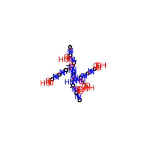 CCCOc1cc(N=Nc2ccc(N=Nc3ccccc3)cc2S(=O)(=O)O)c(C)cc1Cc1nc(Cc2ccc(N=Nc3ccc(N=Nc4ccc(S(=O)(=O)O)cc4)cc3)c(C)c2)nc(N2CC(C)N(c3nc(Nc4ccc(N=Nc5ccc(N=Nc6ccccc6)cc5S(=O)(=O)O)c(C)c4)nc(Nc4cc(C)c(N=Nc5ccc(N=Nc6ccc(S(=O)(=O)O)cc6)cc5)cc4OCCCS(=O)(=O)O)n3)CC2C)n1